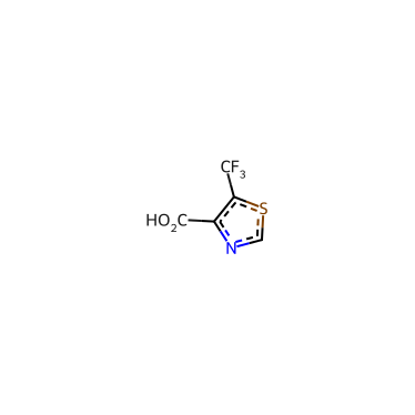 O=C(O)c1ncsc1C(F)(F)F